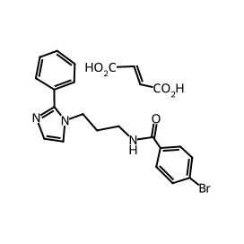 O=C(NCCCn1ccnc1-c1ccccc1)c1ccc(Br)cc1.O=C(O)C=CC(=O)O